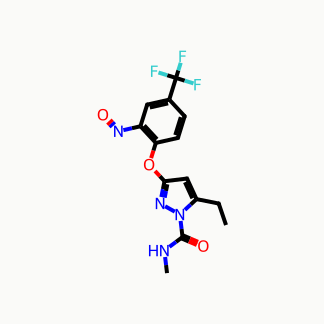 CCc1cc(Oc2ccc(C(F)(F)F)cc2N=O)nn1C(=O)NC